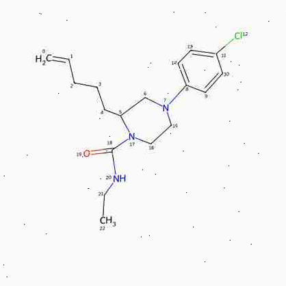 C=CCCCC1CN(c2ccc(Cl)cc2)CCN1C(=O)NCC